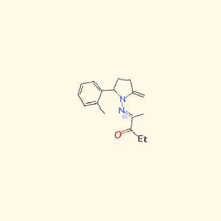 C=C1CCC(c2ccccc2C)N1/N=C(\C)C(=O)CC